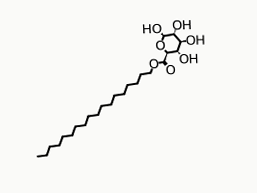 CCCCCCCCCCCCCCCCCCOC(=O)[C@H]1O[C@@H](O)[C@H](O)[C@@H](O)[C@@H]1O